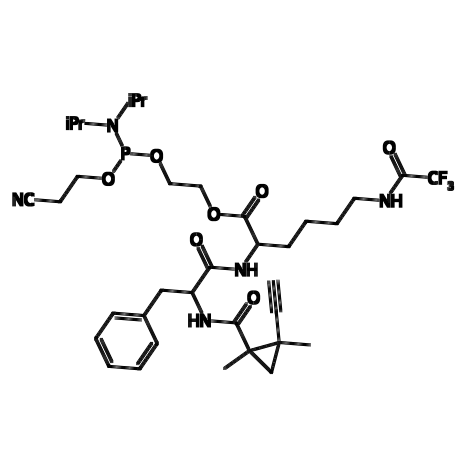 C#CC1(C)CC1(C)C(=O)NC(Cc1ccccc1)C(=O)NC(CCCCNC(=O)C(F)(F)F)C(=O)OCCOP(OCCC#N)N(C(C)C)C(C)C